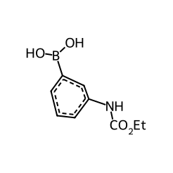 CCOC(=O)Nc1cccc(B(O)O)c1